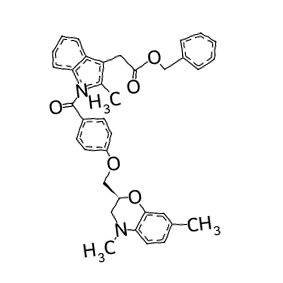 Cc1ccc2c(c1)O[C@H](COc1ccc(C(=O)n3c(C)c(CC(=O)OCc4ccccc4)c4ccccc43)cc1)CN2C